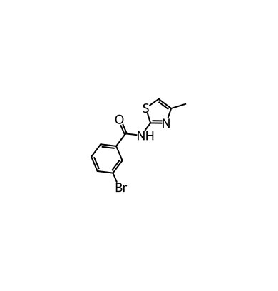 Cc1csc(NC(=O)c2cccc(Br)c2)n1